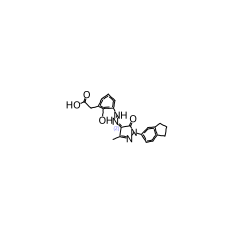 CC1=NN(c2ccc3c(c2)CCC3)C(=O)/C1=N\Nc1cccc(CC(=O)O)c1O